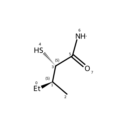 CC[C@H](C)[C@H](S)C([NH])=O